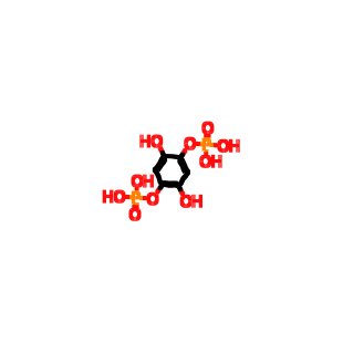 O=P(O)(O)Oc1cc(O)c(OP(=O)(O)O)cc1O